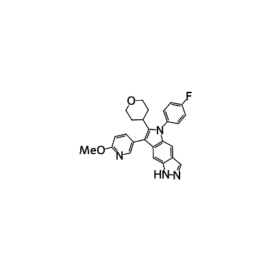 COc1ccc(-c2c(C3CCOCC3)n(-c3ccc(F)cc3)c3cc4cn[nH]c4cc23)cn1